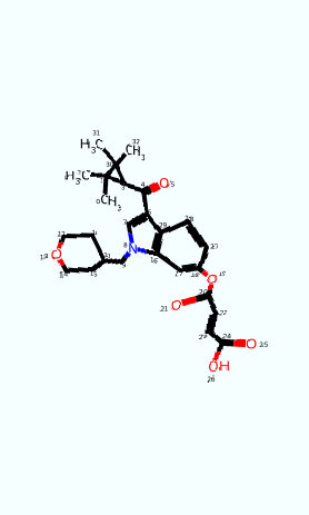 CC1(C)C(C(=O)c2cn(CC3CCOCC3)c3cc(OC(=O)C=CC(=O)O)ccc23)C1(C)C